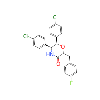 O=C1N[C@@H](c2ccc(Cl)cc2)[C@@H](c2ccc(Cl)cc2)OC1Cc1ccc(F)cc1